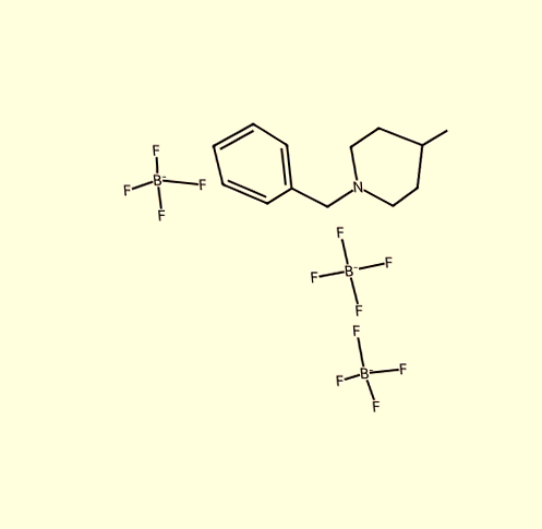 CC1CCN(Cc2ccccc2)CC1.F[B-](F)(F)F.F[B-](F)(F)F.F[B-](F)(F)F